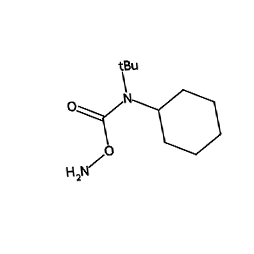 CC(C)(C)N(C(=O)ON)C1CCCCC1